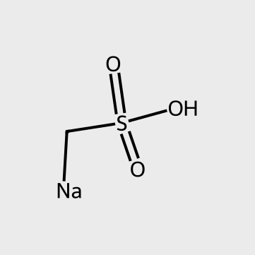 O=S(=O)(O)[CH2][Na]